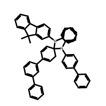 CC1(C)c2ccccc2-c2ccc(N(c3ccccc3)C3(N(c4ccccc4)c4ccc(-c5ccccc5)cc4)C=CC(c4cccc(-c5ccccc5)c4)=CC3)cc21